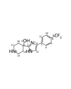 OC1(c2nc(-c3ccc(C(F)(F)F)cc3)c[nH]2)CCNCC1